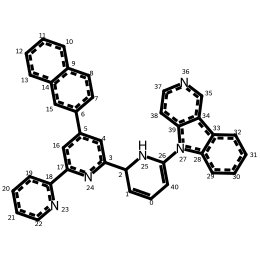 C1=CC(c2cc(-c3ccc4ccccc4c3)cc(-c3ccccn3)n2)NC(n2c3ccccc3c3cnccc32)=C1